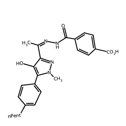 CCCCCc1ccc(-c2c(O)c(/C(C)=N\NC(=O)c3ccc(C(=O)O)cc3)nn2C)cc1